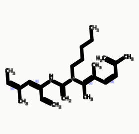 C=C/C(=C\C(C)=C/C)NC(=C)N(CCCCC)/C(C)=C(C)/C=C\C(=C)C